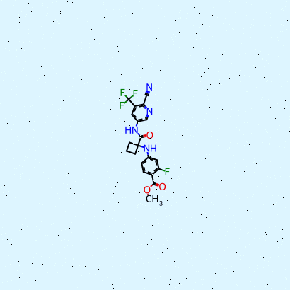 COC(=O)c1ccc(NC2(C(=O)Nc3cnc(C#N)c(C(F)(F)F)c3)CCC2)cc1F